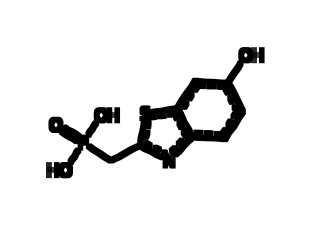 O=P(O)(O)Cc1nc2ccc(O)cc2s1